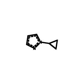 c1cnn(C2CC2)c1